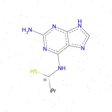 CC(C)[C@H](S)Nc1nc(N)nc2[nH]cnc12